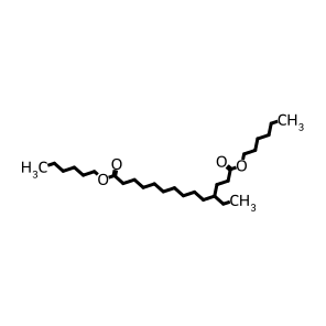 CCCCCCOC(=O)CCCCCCCCCC(CC)CCC(=O)OCCCCCC